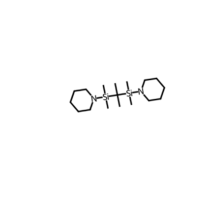 CC(C)([Si](C)(C)N1CCCCC1)[Si](C)(C)N1CCCCC1